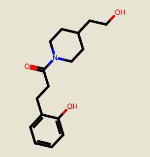 O=C(CCc1ccccc1O)N1CCC(CCO)CC1